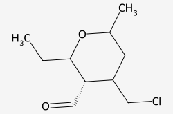 CCC1OC(C)CC(CCl)[C@@H]1C=O